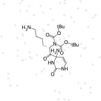 CC(C)(C)OC(=O)N(C(=O)OC(C)(C)C)[C@@H](CCCCN)C(=O)C1(N)C=CNC(=O)N1